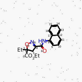 CCOC(=O)C1(CC)CC(C(=O)Nc2cccc3ccccc23)=NO1